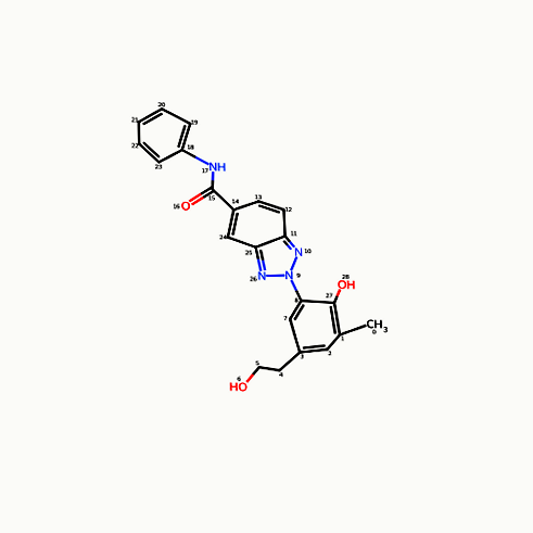 Cc1cc(CCO)cc(-n2nc3ccc(C(=O)Nc4ccccc4)cc3n2)c1O